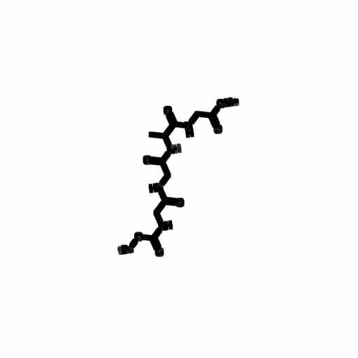 COC(=O)CNC(=O)C(C)NC(=O)CNC(=O)CNC(=O)OC(C)(C)C